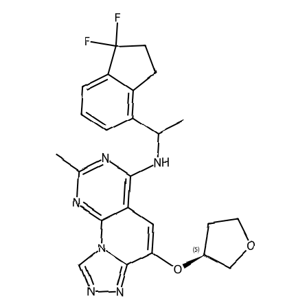 Cc1nc(NC(C)c2cccc3c2CCC3(F)F)c2cc(O[C@H]3CCOC3)c3nncn3c2n1